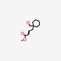 COC(=O)/C=C/CC1(C=O)CCCCC1